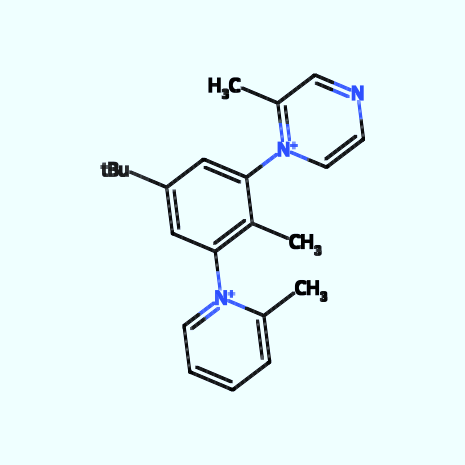 Cc1c(-[n+]2ccccc2C)cc(C(C)(C)C)cc1-[n+]1ccncc1C